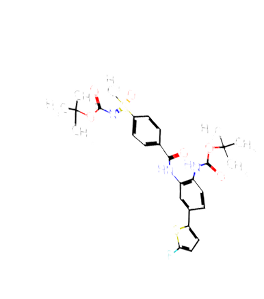 CC(C)(C)OC(=O)N=S(C)(=O)c1ccc(C(=O)Nc2cc(-c3ccc(F)s3)ccc2NC(=O)OC(C)(C)C)cc1